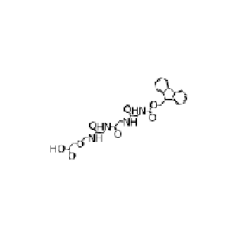 O=C(O)COCNC(=O)CNC(=O)CNC(=O)CNC(=O)OCC1c2ccccc2-c2ccccc21